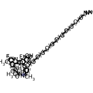 CC[C@]1(O)C(=O)OCc2c1cc1n(c2=O)Cc2c-1nc1cc(F)c(C)c3c1c2[C@H](NC(=O)C(C)(C)C(=O)N/N=C(/C)c1ccc(OCCOCCOCCOCCOCCOCCOCCOCCOCCOCCOCCOCCN=[N+]=[N-])cc1)CC3